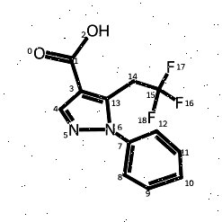 O=C(O)c1cnn(-c2ccccc2)c1CC(F)(F)F